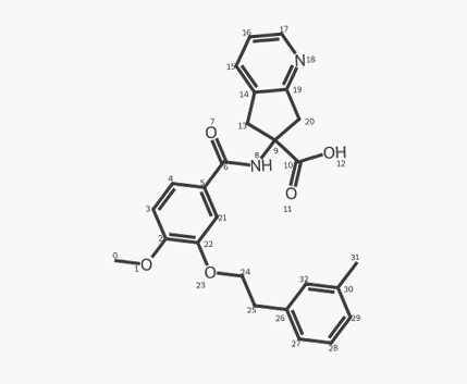 COc1ccc(C(=O)NC2(C(=O)O)Cc3cccnc3C2)cc1OCCc1cccc(C)c1